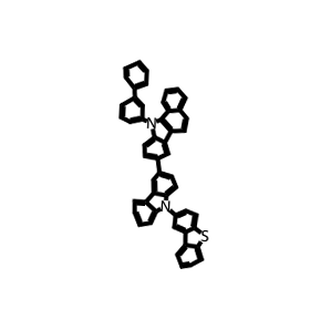 c1ccc(-c2cccc(-n3c4ccc(-c5ccc6c(c5)c5ccccc5n6-c5ccc6sc7ccccc7c6c5)cc4c4ccc5ccccc5c43)c2)cc1